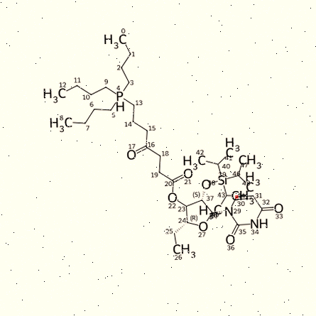 CCCC[PH](CCCC)(CCCC)CCCC(=O)CCC(=O)OC1[C@@H](CC)O[C@@H](n2ccc(=O)[nH]c2=O)[C@H]1O[Si](C(C)C)(C(C)C)C(C)C